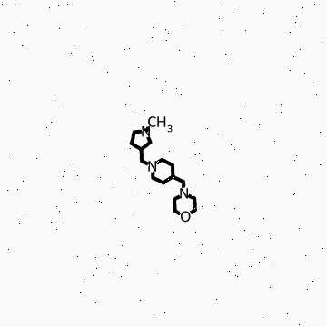 CN1CCC(CN2CCC(CN3CCOCC3)CC2)C1